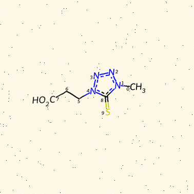 Cn1nnn(CCC(=O)O)c1=S